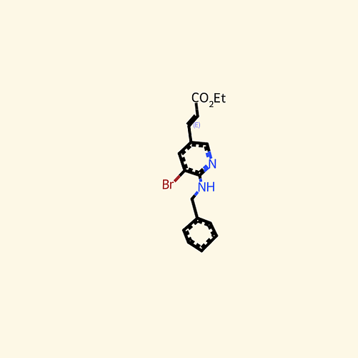 CCOC(=O)/C=C/c1cnc(NCc2ccccc2)c(Br)c1